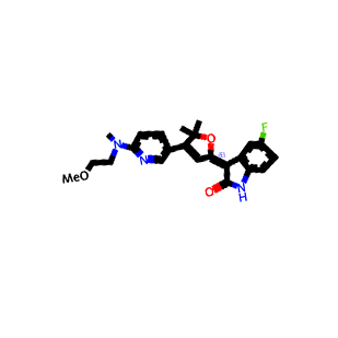 COCCN(C)c1ccc(C2=C/C(=C3\C(=O)Nc4ccc(F)cc43)OC2(C)C)cn1